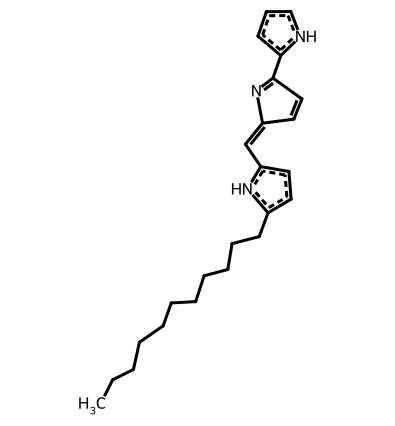 CCCCCCCCCCCc1ccc(/C=C2\C=CC(c3ccc[nH]3)=N2)[nH]1